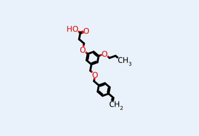 C=Cc1ccc(COCc2cc(OCCC)cc(OCCC(=O)O)c2)cc1